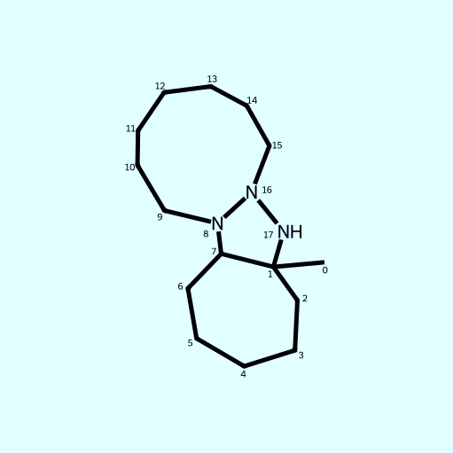 CC12CCCCCC1N1CCCCCCCN1N2